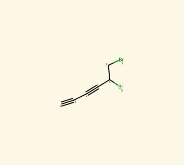 C#CC#CC(Br)CBr